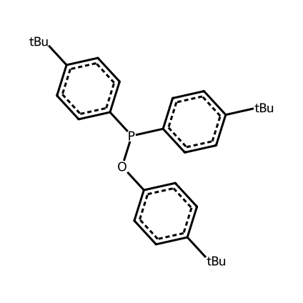 CC(C)(C)c1ccc(OP(c2ccc(C(C)(C)C)cc2)c2ccc(C(C)(C)C)cc2)cc1